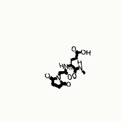 CNC(=O)[C@H](CCC(=O)O)NC(=O)CN1C(=O)C=CC1=O